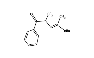 CCCCC(C)=CC(C(=O)c1ccccc1)C(F)(F)F